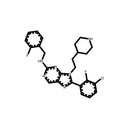 Fc1ccccc1CNc1ncc2nc(-c3cccc(Cl)c3F)n(CCC3CCNCC3)c2n1